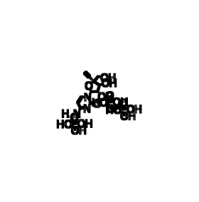 C#C[C@]1(CO)O[C@@H](n2ccc(N)nc2=O)[C@H](O)[C@@H]1O.O=P(O)(O)O.O=P(O)(O)O.O=P(O)(O)O